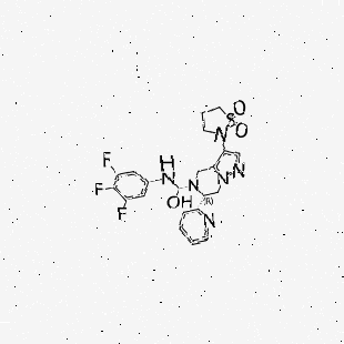 O=S1(=O)CCCN1c1cnn2c1CN(C(O)Nc1cc(F)c(F)c(F)c1)[C@@H](c1ccccn1)C2